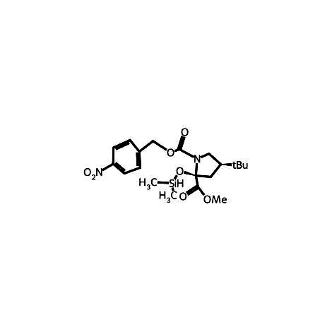 COC(=O)[C@@]1(O[SiH](C)C)C[C@H](C(C)(C)C)CN1C(=O)OCc1ccc([N+](=O)[O-])cc1